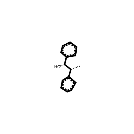 C[C@H](c1ccccc1)[C@H](O)c1ccccc1